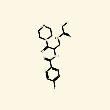 O=C(CCl)NCC(NC(=O)c1ccc(F)cc1)C(=O)N1CCOCC1